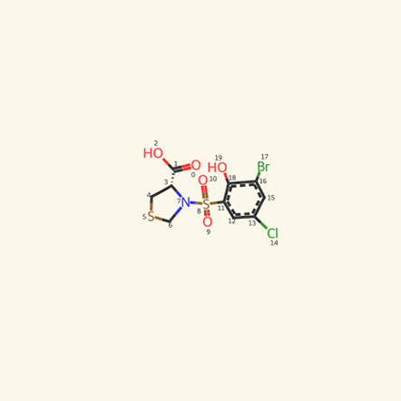 O=C(O)[C@H]1CSCN1S(=O)(=O)c1cc(Cl)cc(Br)c1O